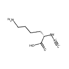 [C-]#[N+]N[C@@H](CCCCN)C(=O)O